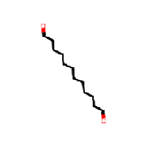 O=[C]CCCCCCCCCCC=O